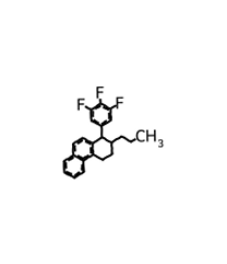 CCCC1CCc2c(ccc3ccccc23)C1c1cc(F)c(F)c(F)c1